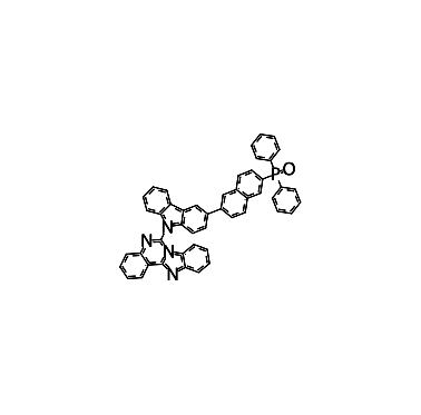 O=P(c1ccccc1)(c1ccccc1)c1ccc2cc(-c3ccc4c(c3)c3ccccc3n4-c3nc4ccccc4c4nc5ccccc5n34)ccc2c1